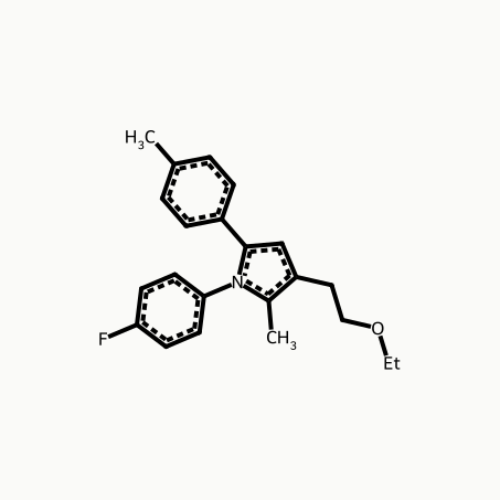 CCOCCc1cc(-c2ccc(C)cc2)n(-c2ccc(F)cc2)c1C